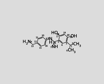 CC(C)c1cc(C(=N)Nc2ccc(CN)cc2)c(O)cc1O